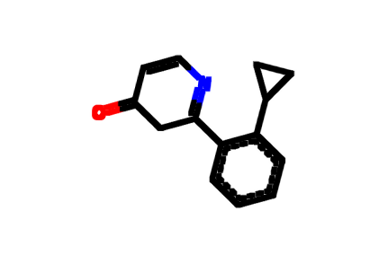 O=C1C=CN=C(c2ccccc2C2CC2)C1